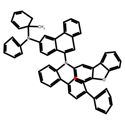 CC1(N(c2ccccc2)c2ccc3c(N(c4ccc5oc6ccccc6c5c4)c4ccccc4-c4ccc(-c5ccccc5)cc4)cc4ccccc4c3c2)C=CC=CC1